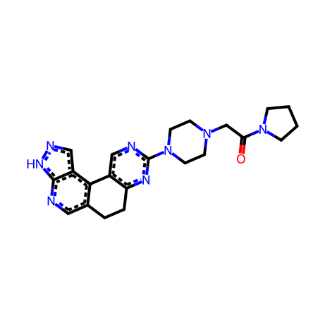 O=C(CN1CCN(c2ncc3c(n2)CCc2cnc4[nH]ncc4c2-3)CC1)N1CCCC1